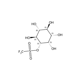 O=S(=O)(O[C@@H]1[C@@H](O)[C@H](O)[C@@H](O)[C@H](O)[C@@H]1O)C(F)(F)F